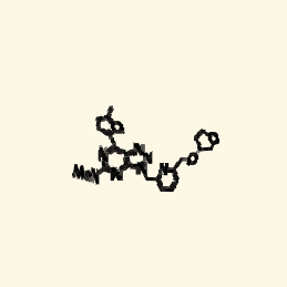 CNc1nc(-c2ccc(C)o2)c2nnn(Cc3cccc(CO[C@@H]4CCOC4)n3)c2n1